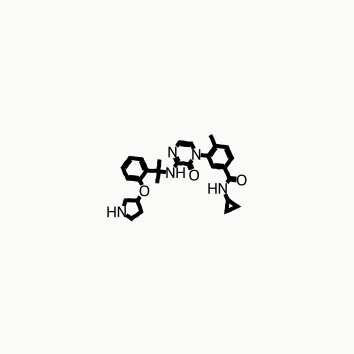 Cc1ccc(C(=O)NC2CC2)cc1-n1ccnc(NC(C)(C)c2ccccc2OC2CCNC2)c1=O